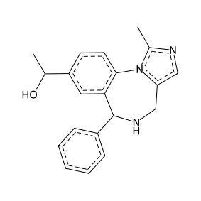 Cc1ncc2n1-c1ccc(C(C)O)cc1C(c1ccccc1)NC2